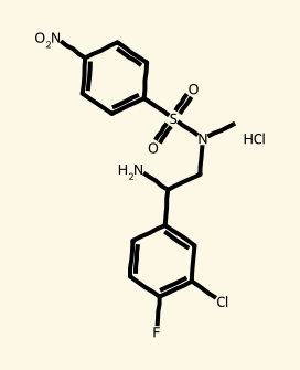 CN(CC(N)c1ccc(F)c(Cl)c1)S(=O)(=O)c1ccc([N+](=O)[O-])cc1.Cl